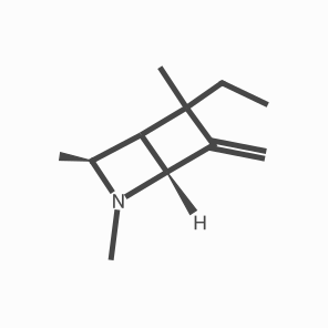 C=C1[C@H]2C([C@H](C)N2C)C1(C)CC